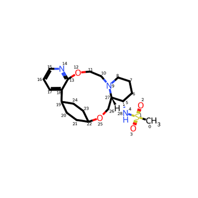 CS(=O)(=O)N[C@H]1CCCN2CCOc3ncccc3C3CCC(CC3)OC[C@@H]12